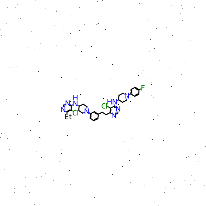 CCc1ncnc(NC2CCN(c3cccc(CCc4ncnc(NC5CCN(c6ccc(F)cc6)CC5)c4Cl)c3)CC2)c1Cl